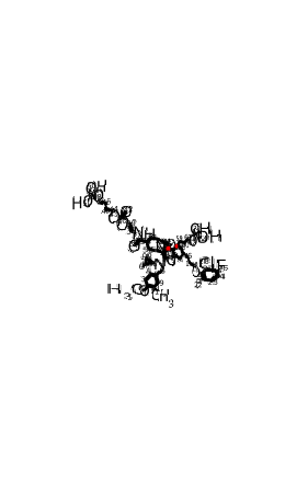 COc1ccc(CN(C(=O)C2C(c3ccc(CCCOc4c(F)ccc(F)c4Cl)cc3)CC3CC(C(=O)NCCOC(=O)OCCCCON(O)O)CC2N3C(=O)OCCCCON(O)O)C2CC2)cc1C